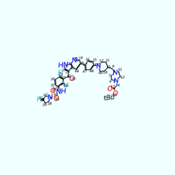 CC(C)(C)OC(=O)CN1CCN(CC2CCN(c3ccc(-c4cnc5[nH]cc(C(=O)c6c(F)ccc(NS(=O)(=O)N7CC[C@@H](F)C7)c6F)c5c4)cc3)CC2)CC1